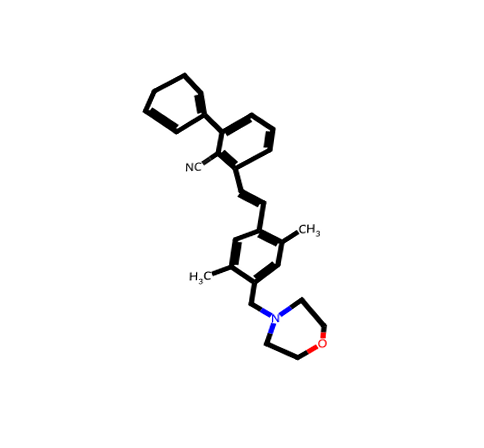 Cc1cc(CN2CCOCC2)c(C)cc1/C=C/c1cccc(C2=CCCC=C2)c1C#N